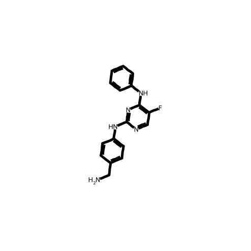 NCc1ccc(Nc2ncc(F)c(Nc3ccccc3)n2)cc1